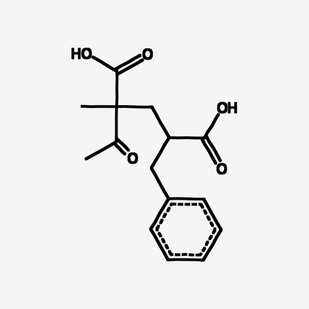 CC(=O)C(C)(CC(Cc1ccccc1)C(=O)O)C(=O)O